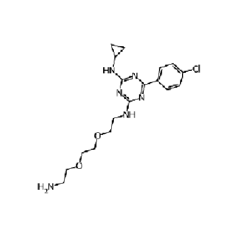 NCCOCCOCCNc1nc(NC2CC2)nc(-c2ccc(Cl)cc2)n1